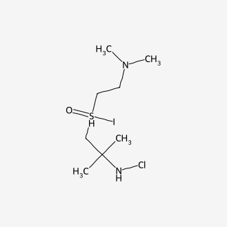 CN(C)CC[SH](=O)(I)CC(C)(C)NCl